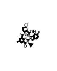 Cc1cc([C@@H](C)Nc2ccc(Cl)nc2C(=O)O)c2nc(N3Cc4ccc(F)cc4C3)n(C3CC3)c(=O)c2c1